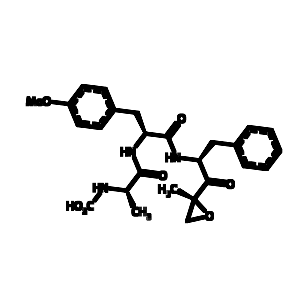 COc1ccc(C[C@H](NC(=O)[C@@H](C)NC(=O)O)C(=O)N[C@@H](Cc2ccccc2)C(=O)[C@@]2(C)CO2)cc1